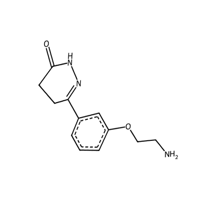 NCCOc1cccc(C2=NNC(=O)CC2)c1